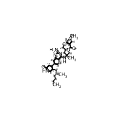 C=CCCN(C)Cc1c[nH]c(=O)cc1-c1cnc2c(N[C@](C)(CCCC)COC(=O)c3cnn(C)c3)nc(N)nc2c1